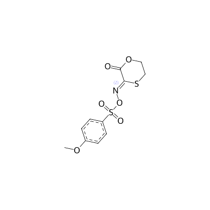 COc1ccc(S(=O)(=O)O/N=C2\SCCOC2=O)cc1